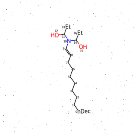 CCCCCCCCCCCCCCCCCC=CN(C(O)CC)C(O)CC